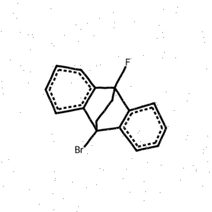 FC12CCC(Br)(c3ccccc31)c1ccccc12